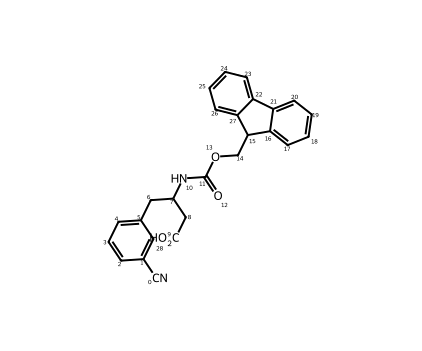 N#Cc1cccc(CC(CC(=O)O)NC(=O)OCC2c3ccccc3-c3ccccc32)c1